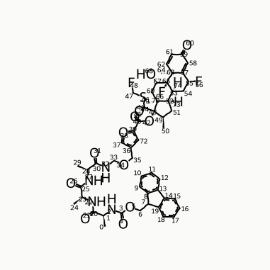 C[C@H](NC(=O)OCC1c2ccccc2-c2ccccc21)C(=O)N[C@@H](C)C(=O)N[C@@H](C)C(=O)NCOCc1coc(C(=O)O[C@]2(C(=O)SCF)[C@H](C)C[C@H]3[C@@H]4C[C@H](F)C5=CC(=O)C=C[C@]5(C)[C@@]4(F)[C@@H](O)C[C@@]32C)c1